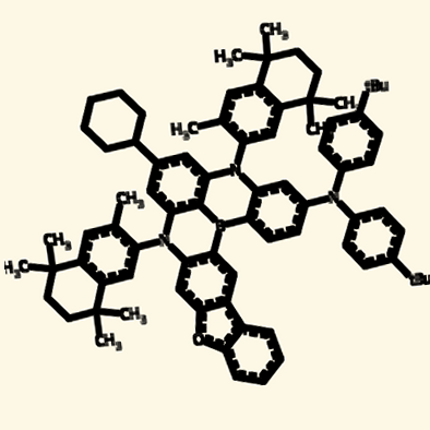 Cc1cc2c(cc1N1c3cc(N(c4ccc(C(C)(C)C)cc4)c4ccc(C(C)(C)C)cc4)ccc3B3c4cc5c(cc4N(c4cc6c(cc4C)C(C)(C)CCC6(C)C)c4cc(C6CCCCC6)cc1c43)oc1ccccc15)C(C)(C)CCC2(C)C